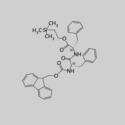 C[Si](C)(C)CCOC(=O)[C@H](Cc1ccccc1)NC(=O)[C@H](Cc1ccccc1)NC(=O)OCC1c2ccccc2-c2ccccc21